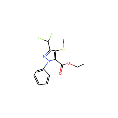 CCOC(=O)c1c(SC)c(C(F)F)nn1-c1ccccc1